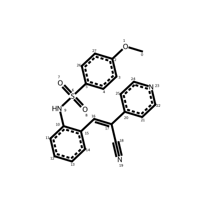 COc1ccc(S(=O)(=O)Nc2ccccc2C=C(C#N)c2ccncc2)cc1